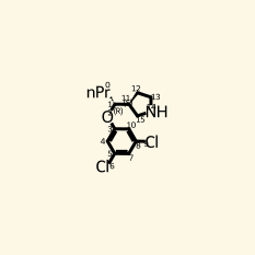 CCC[C@@H](Oc1cc(Cl)cc(Cl)c1)[C@H]1CCNC1